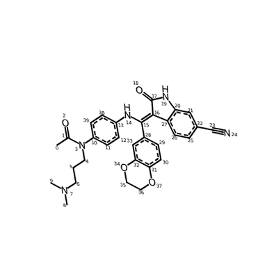 CC(=O)N(CCCN(C)C)c1ccc(N/C(=C2\C(=O)Nc3cc(C#N)ccc32)c2ccc3c(c2)OCCO3)cc1